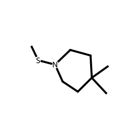 CSN1CCC(C)(C)CC1